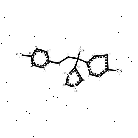 N#Cc1ccc(C(O)(CCc2ccc(F)cc2)c2cncs2)cc1